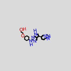 OCCO[C@H]1CC[C@@H](Nc2ncc3c(-c4ccc5nncn5c4)c[nH]c3n2)CC1